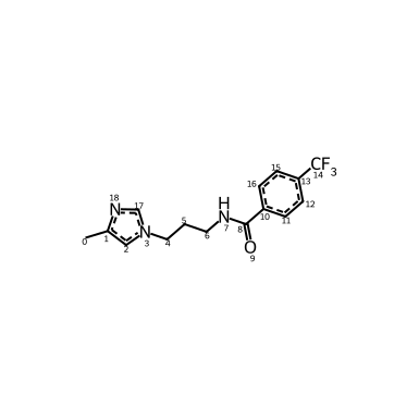 Cc1cn(CCCNC(=O)c2ccc(C(F)(F)F)cc2)cn1